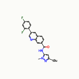 Cn1nc(C(C)(C)C)cc1NC(=O)c1ccc2cc(-c3ccc(F)cc3F)cnc2c1